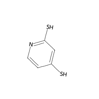 Sc1ccnc(S)c1